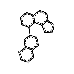 c1cc(-c2cc3ncncc3cn2)c2c(c1)ccc1occc12